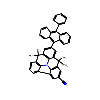 CC1(C)c2cc(-c3c4ccccc4c(-c4ccccc4)c4ccccc34)cc3c2-n2c4c1cccc4c1cc(C#N)cc(c12)C3(C)C